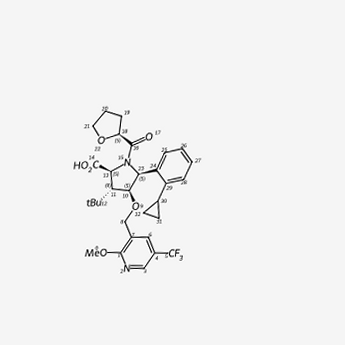 COc1ncc(C(F)(F)F)cc1CO[C@H]1[C@H](C(C)(C)C)[C@@H](C(=O)O)N(C(=O)[C@@H]2CCCO2)[C@H]1c1ccccc1C1CC1